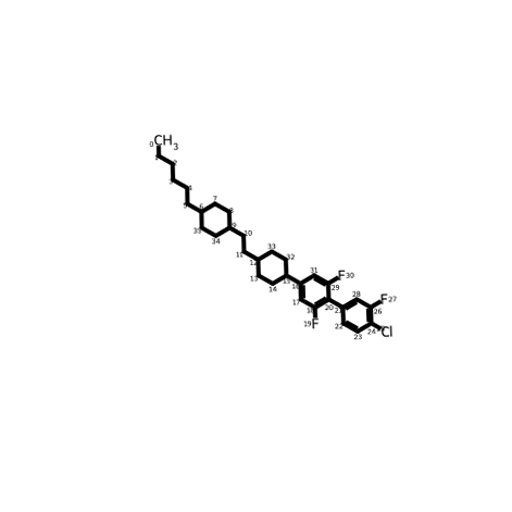 CCCCCCC1CCC(CCC2CCC(c3cc(F)c(-c4ccc(Cl)c(F)c4)c(F)c3)CC2)CC1